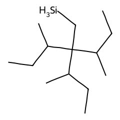 CCC(C)C(C[SiH3])(C(C)CC)C(C)CC